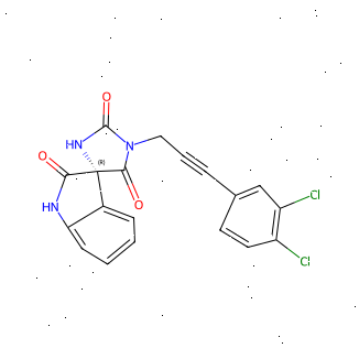 O=C1N[C@]2(C(=O)Nc3ccccc32)C(=O)N1CC#Cc1ccc(Cl)c(Cl)c1